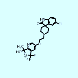 CC(C)(O)c1ncc(OCCN2CCC3(CC2)C(=O)Nc2ccc(Cl)cc23)cc1C(F)(F)F